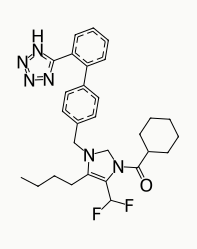 CCCCC1=C(C(F)F)N(C(=O)C2CCCCC2)CN1Cc1ccc(-c2ccccc2-c2nnn[nH]2)cc1